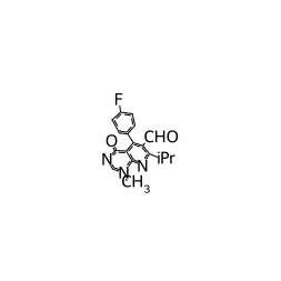 CC(C)c1nc2c(c(-c3ccc(F)cc3)c1C=O)c(=O)ncn2C